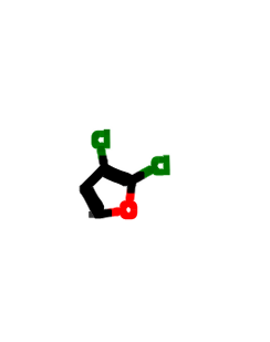 Clc1c[c]oc1Cl